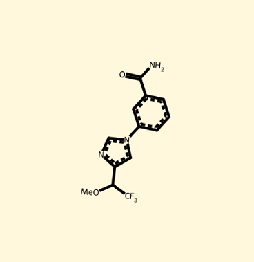 COC(c1cn(-c2cccc(C(N)=O)c2)cn1)C(F)(F)F